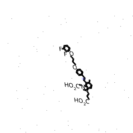 Cc1ccc2c(CCCC(=O)O)cn(CC(=O)O)c2c1/C=C/c1ccc(OCCCCOc2cccc(F)c2F)cc1